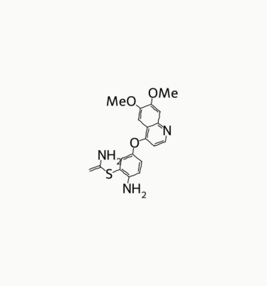 C=C(N)Sc1cc(Oc2ccnc3cc(OC)c(OC)cc23)ccc1N